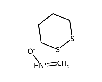 C1CCSSC1.C=[NH+][O-]